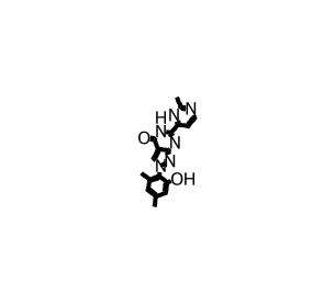 Cc1cc(C)c(-n2cc3c(=O)[nH]c(-c4ccnc(C)n4)nc3n2)c(O)c1